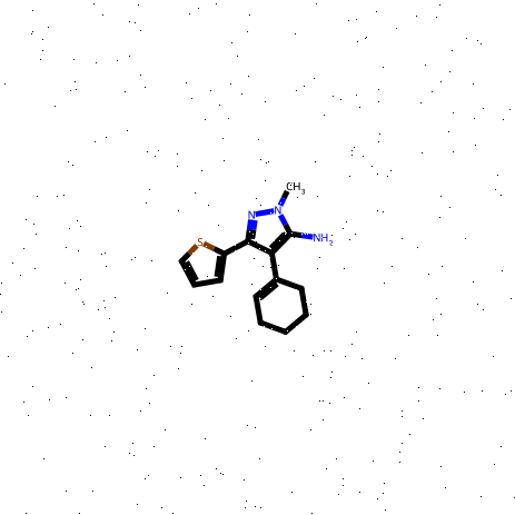 Cn1nc(-c2cccs2)c(C2=CCCCC2)c1N